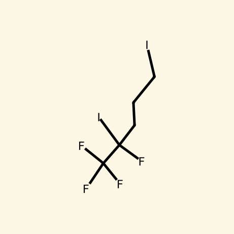 FC(F)(F)C(F)(I)CCCI